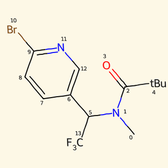 CN(C(=O)C(C)(C)C)C(c1ccc(Br)nc1)C(F)(F)F